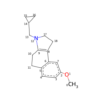 COc1ccc2c(c1)C1=C(CC2)N(CC2CC2)CC1